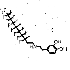 Oc1ccc(CCNCCC(F)(F)C(F)(F)C(F)(F)C(F)(F)C(F)(F)C(F)(F)C(F)(F)C(F)(F)F)cc1O